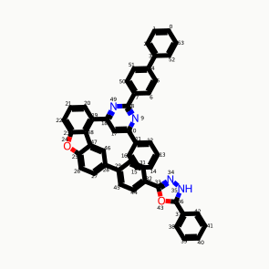 c1ccc(-c2ccc(-c3nc(-c4ccccc4)cc(-c4cccc5oc6ccc(-c7ccc(C8=NNC(c9ccccc9)O8)cc7)cc6c45)n3)cc2)cc1